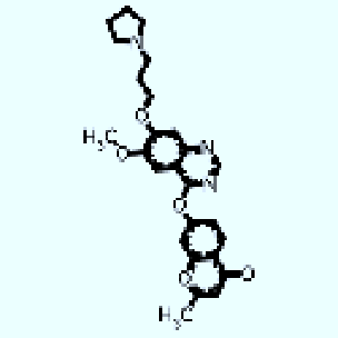 COc1cc2c(Oc3ccc4c(=O)cc(C)oc4c3)ncnc2cc1OCCCN1CCCC1